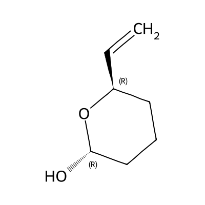 C=C[C@H]1CCC[C@H](O)O1